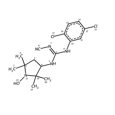 CC1(C)CC(NC(=NC#N)Nc2cc(Cl)ccc2Cl)C(C)(C)N1O